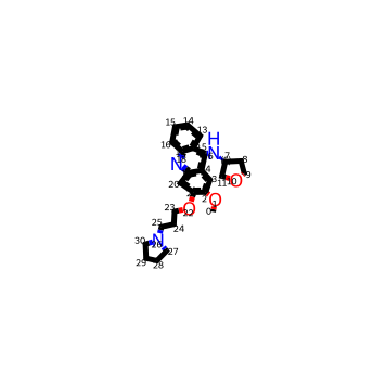 COc1cc2c(N[C@H]3CCOC3)c3ccccc3nc2cc1OCCCN1CCCC1